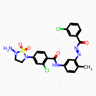 Cc1ccc(NC(=O)c2ccc(N3CCN(N)S3(=O)=O)cc2Cl)cc1N=NC(=O)c1cccc(Cl)c1